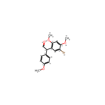 COc1ccc(C(C=O)c2cc(Br)c(OC)cc2OC)cc1